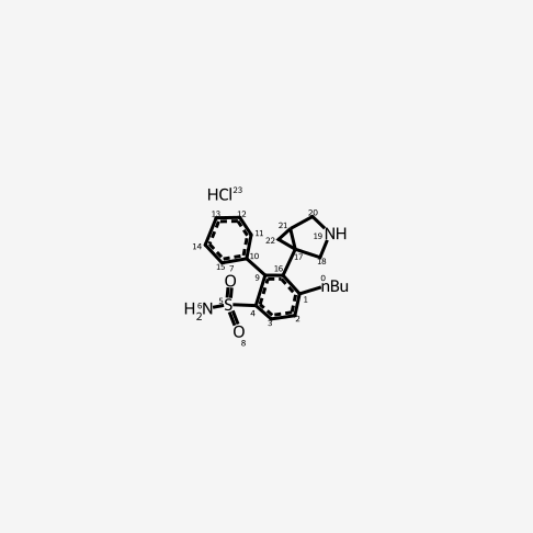 CCCCc1ccc(S(N)(=O)=O)c(-c2ccccc2)c1C12CNCC1C2.Cl